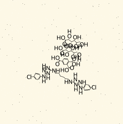 N=C(NCCCCCCNC(=N)NC(=N)Nc1ccc(Cl)cc1)NC(=N)Nc1ccc(Cl)cc1.O=C(O)[C@H](O)[C@@H](O)[C@H](O)[C@H](O)CO.O=C(O)[C@H](O)[C@@H](O)[C@H](O)[C@H](O)CO.O=C(O)c1ccc(C(=O)O)c(C(=O)O)c1